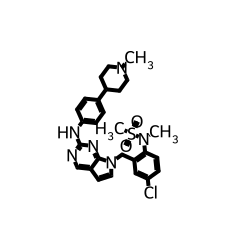 CN1CCC(c2ccc(Nc3ncc4ccn(Cc5cc(Cl)ccc5N(C)S(C)(=O)=O)c4n3)cc2)CC1